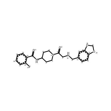 O=C(NC1CCN(C(=O)CNCc2ccc3c(c2)OCO3)CC1)c1ccccc1F